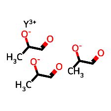 CC([O-])C=O.CC([O-])C=O.CC([O-])C=O.[Y+3]